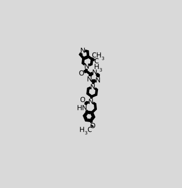 COc1ccc2c(c1)CCN(C1CCN(c3ncnc(C(=O)N4CC5=C(CN=C5)C(C)(C)C4)n3)CC1)C(=O)N2